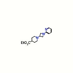 CCOC(=O)C1CCN(C2CN(c3ccccn3)C2)CC1